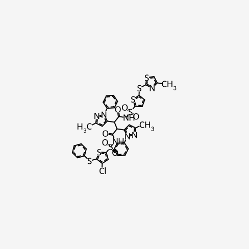 Cc1csc(Sc2ccc(S(=O)(=O)NC(=O)C(c3cc(C)nn3-c3ccccc3)C(C(=O)NS(=O)(=O)c3cc(Cl)c(Sc4ccccc4)s3)c3cc(C)nn3-c3ccccc3)s2)n1